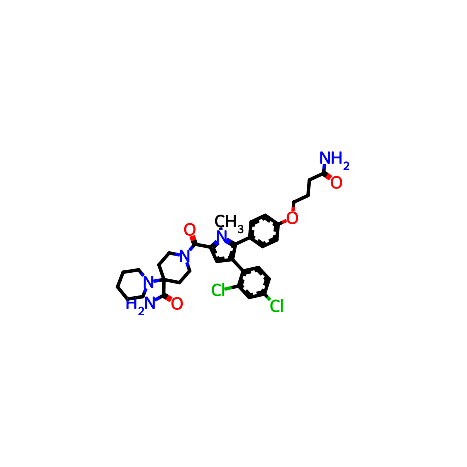 Cn1c(C(=O)N2CCC(C(N)=O)(N3CCCCC3)CC2)cc(-c2ccc(Cl)cc2Cl)c1-c1ccc(OCCCC(N)=O)cc1